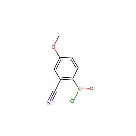 COc1ccc([S+]([O-])Cl)c(C#N)c1